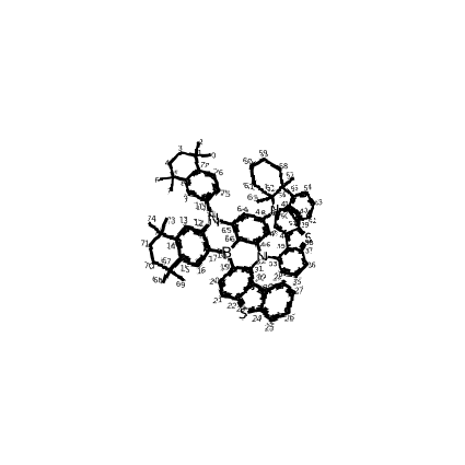 CC1(C)CCC(C)(C)c2cc(N3c4cc5c(cc4B4c6ccc7sc8ccccc8c7c6N(c6cccc7sc8ccccc8c67)c6cc(N7c8ccccc8C8(C)CCCCC78C)cc3c64)C(C)(C)CCC5(C)C)ccc21